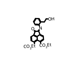 CCOC(=O)c1ccc2c3c(ccc(C(=O)OCC)c13)/C(=N/c1ccccc1CCO)C2=O